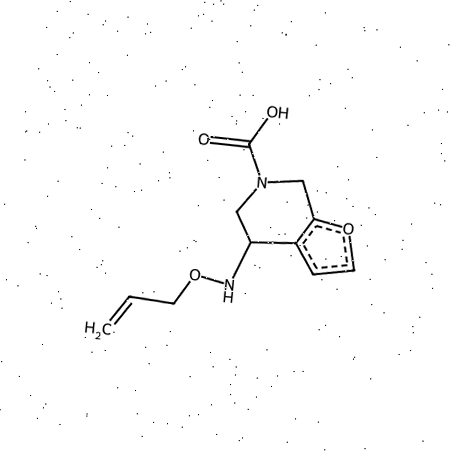 C=CCONC1CN(C(=O)O)Cc2occc21